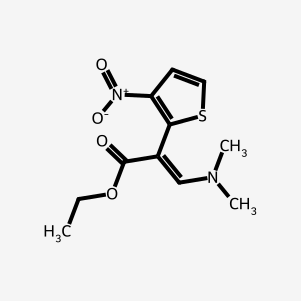 CCOC(=O)/C(=C/N(C)C)c1sccc1[N+](=O)[O-]